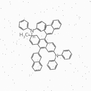 C[C@]1(N(c2ccccc2)c2ccccc2)C=Cc2c(c(-c3ccc4ccccc4c3)c3ccc(N(c4ccccc4)c4ccccc4)cc3c2-c2ccc3ccccc3c2)C1